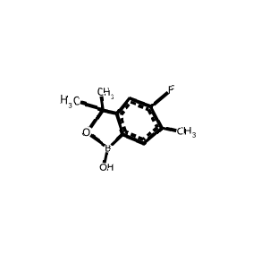 Cc1cc2c(cc1F)C(C)(C)OB2O